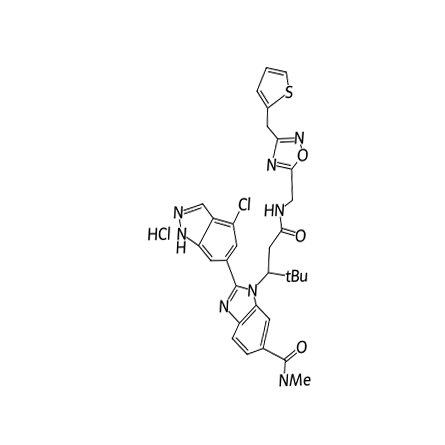 CNC(=O)c1ccc2nc(-c3cc(Cl)c4cn[nH]c4c3)n(C(CC(=O)NCc3nc(Cc4cccs4)no3)C(C)(C)C)c2c1.Cl